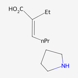 C1CCNC1.CCC/C=C(\CC)C(=O)O